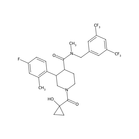 Cc1cc(F)ccc1C1CN(C(=O)C2(O)CC2)CCC1C(=O)N(C)Cc1cc(C(F)(F)F)cc(C(F)(F)F)c1